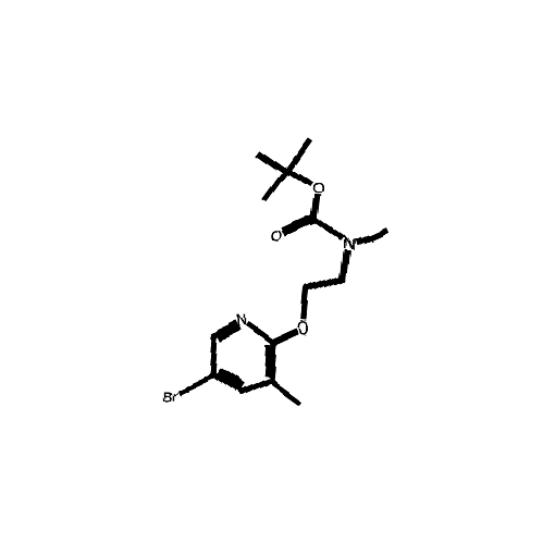 Cc1cc(Br)cnc1OCCN(C)C(=O)OC(C)(C)C